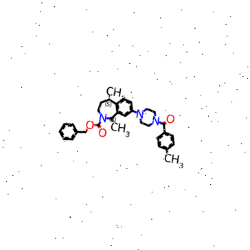 Cc1ccc(C(=O)N2CCN(c3ccc4c(c3)[C@@H](C)N(C(=O)OCc3ccccc3)CC[C@@H]4C)CC2)cc1